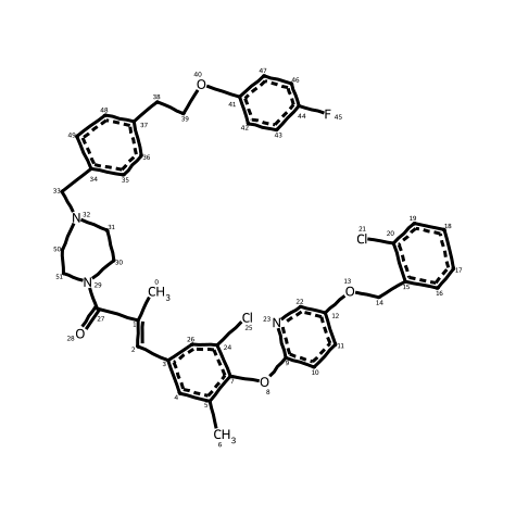 C/C(=C\c1cc(C)c(Oc2ccc(OCc3ccccc3Cl)cn2)c(Cl)c1)C(=O)N1CCN(Cc2ccc(CCOc3ccc(F)cc3)cc2)CC1